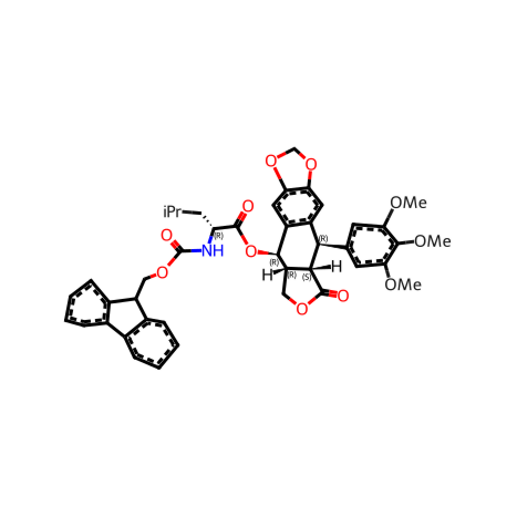 COc1cc([C@@H]2c3cc4c(cc3[C@H](OC(=O)[C@@H](CC(C)C)NC(=O)OCC3c5ccccc5-c5ccccc53)[C@H]3COC(=O)[C@@H]23)OCO4)cc(OC)c1OC